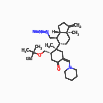 C=C1CC[C@H]2[C@H](CN=[N+]=[N-])[C@@H]([C@@]3(C)C/C(=C/N4CCCCC4)C(=O)C[C@@H]3CO[Si](C)(C)C(C)(C)C)CC[C@]12C